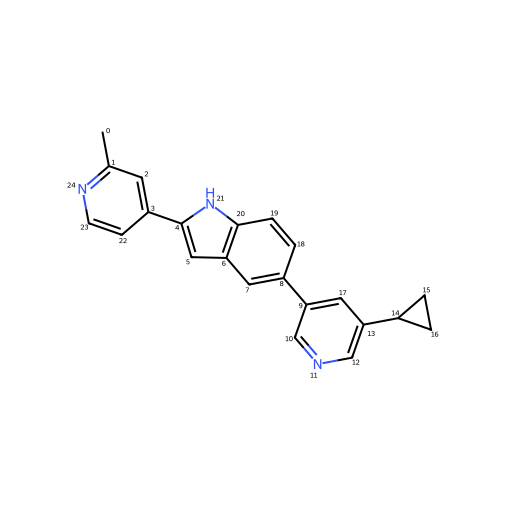 Cc1cc(-c2cc3cc(-c4cncc(C5CC5)c4)ccc3[nH]2)ccn1